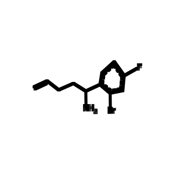 C=CCCC(N)c1ccc(F)cc1Br